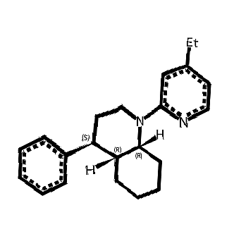 CCc1ccnc(N2CC[C@H](c3ccccc3)[C@H]3CCCC[C@H]32)c1